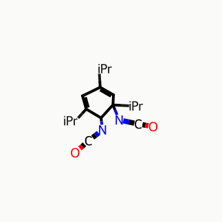 CC(C)C1=CC(N=C=O)(C(C)C)C(N=C=O)C(C(C)C)=C1